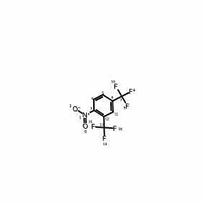 O=[N+]([O-])c1ccc(C(F)(F)F)cc1C(F)(F)F